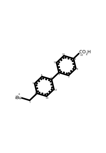 CCC(C)Cc1ccc(-c2ccc(C(=O)O)cc2)cc1